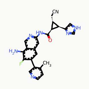 Cc1ccncc1-c1cc2cc(NC(=O)[C@H]3[C@H](CC#N)[C@H]3c3c[nH]cn3)ncc2c(N)c1F